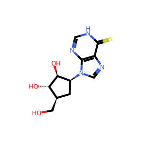 OC[C@@H]1C[C@H](n2cnc3c(=S)[nH]cnc32)[C@H](O)[C@H]1O